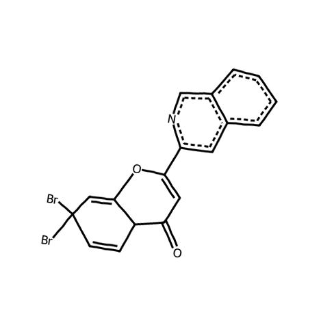 O=C1C=C(c2cc3ccccc3cn2)OC2=CC(Br)(Br)C=CC12